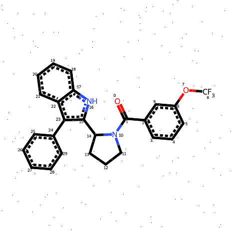 O=C(c1cccc(OC(F)(F)F)c1)N1CCCC1c1[nH]c2ccccc2c1-c1ccccc1